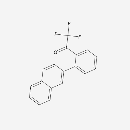 O=C(c1ccccc1-c1ccc2ccccc2c1)C(F)(F)F